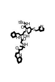 CC(C)(C)NC(=O)C1CC(SCc2cccnc2)CCN1CC(O)C(Cc1ccccc1)NC(=O)CNC(C)(C)CC(=O)c1ccc2ccccc2n1